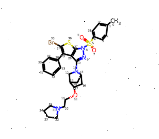 Cc1ccc(S(=O)(=O)n2nc(N3CC4CC3CC4OCCN3CCCC3)c3c(-c4ccccc4)c(Br)sc32)cc1